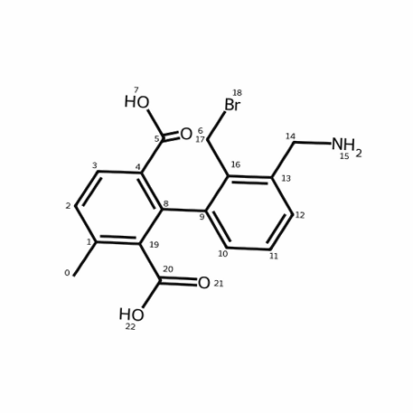 Cc1ccc(C(=O)O)c(-c2cccc(CN)c2CBr)c1C(=O)O